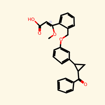 CO/C(=C\C(=O)O)c1ccccc1COc1cccc(C2CC2C(=O)c2ccccc2)c1